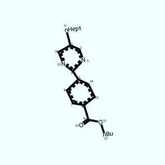 CCCCCCCc1cnc(-c2ccc(C(=O)OCCCC)cc2)nc1